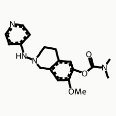 COc1cc2c(cc1OC(=O)N(C)C)CCN(Nc1ccncc1)C2